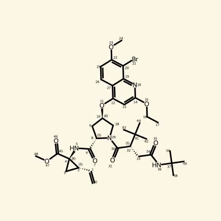 C=C[C@@H]1C[C@]1(NC(=O)[C@@H]1C[C@@H](Oc2cc(OCC)nc3c(Br)c(OC)ccc23)CN1C(=O)[C@@H](CC(=O)NC(C)(C)C)C(C)(C)C)C(=O)OC